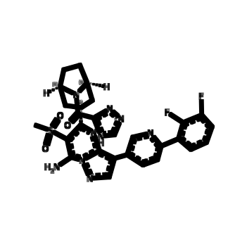 CS(=O)(=O)c1c([C@@H]2C[C@H]3CC[C@@H](C2)N3C(=O)c2nnc[nH]2)nc2c(-c3ccc(-c4cccc(F)c4F)nc3)cnn2c1N